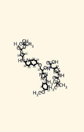 COc1ccc(Cn2nnc(C(COc3ccc4nc(NC5CN(C(=O)OC(C)(C)C)C5)ccc4c3)O/N=C(\C(=O)O)c3csc(NC(=O)OC(C)(C)C)n3)n2)cc1